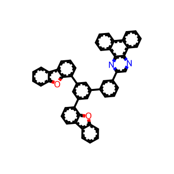 c1cc(-c2cc(-c3cccc4c3oc3ccccc34)cc(-c3cccc4c3oc3ccccc34)c2)cc(-c2cnc3c4ccccc4c4ccccc4c3n2)c1